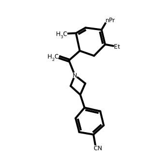 C=C(C1CC(CC)=C(CCC)C=C1C)N1CC(c2ccc(C#N)cc2)C1